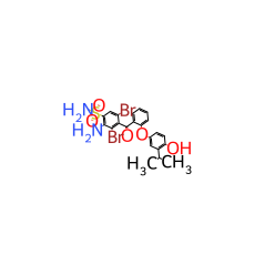 CC(C)c1cc(Oc2ccccc2C(=O)c2c(Br)cc(S(N)(=O)=O)c(N)c2Br)ccc1O